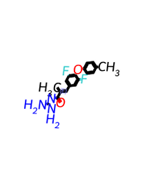 C/C(=C\c1cc(F)c(Oc2ccc(C)cc2)c(F)c1)C(=O)N=C(N)N